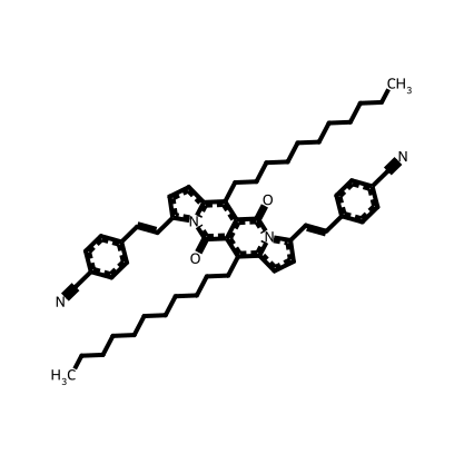 CCCCCCCCCCCc1c2c(=O)n3c(C=Cc4ccc(C#N)cc4)ccc3c(CCCCCCCCCCC)c2c(=O)n2c(C=Cc3ccc(C#N)cc3)ccc12